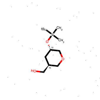 CC(C)(C)[Si](C)(C)O[C@@H]1COC[C@@H](CO)C1